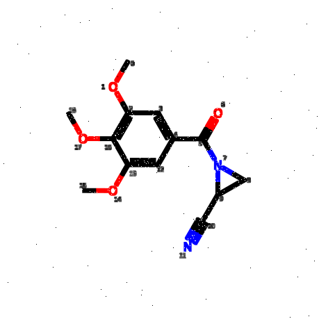 COc1cc(C(=O)N2CC2C#N)cc(OC)c1OC